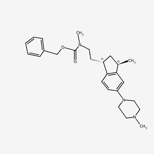 C[C@@H]1C[C@@H](CCN(C)C(=O)OCc2ccccc2)c2ccc(N3CCN(C)CC3)cc21